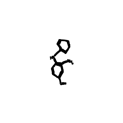 COc1ccc(Nc2ccccc2)c(N)c1